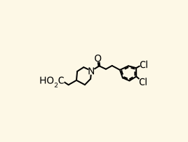 O=C(O)CC1CCN(C(=O)CCc2ccc(Cl)c(Cl)c2)CC1